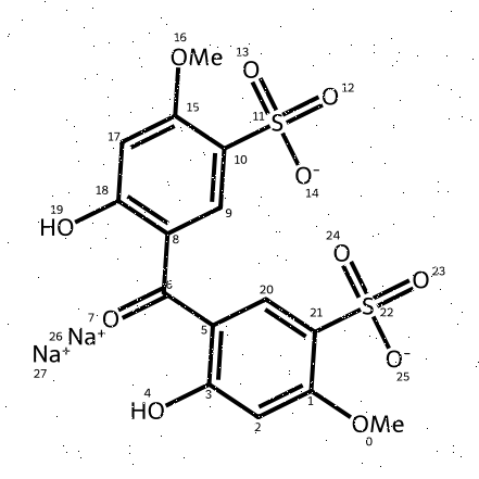 COc1cc(O)c(C(=O)c2cc(S(=O)(=O)[O-])c(OC)cc2O)cc1S(=O)(=O)[O-].[Na+].[Na+]